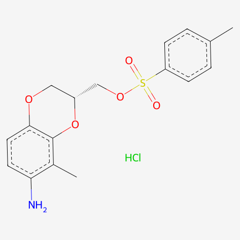 Cc1ccc(S(=O)(=O)OC[C@H]2COc3ccc(N)c(C)c3O2)cc1.Cl